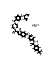 Br.Cn1c(C(=O)N2CCN(Cc3ccc(OC(CF)CF)cc3)CC2)cc2ccc(Oc3ccc(NC(=O)c4ccc(C(F)(F)F)cc4)cn3)cc21